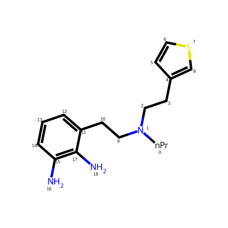 CCCN(CCc1ccsc1)CCc1cccc(N)c1N